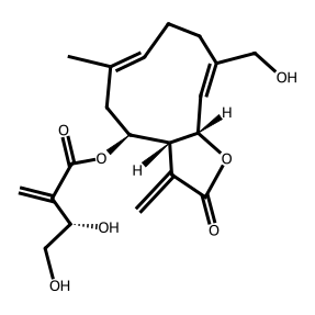 C=C1C(=O)O[C@H]2/C=C(\CO)CC/C=C(\C)C[C@H](OC(=O)C(=C)[C@H](O)CO)[C@@H]12